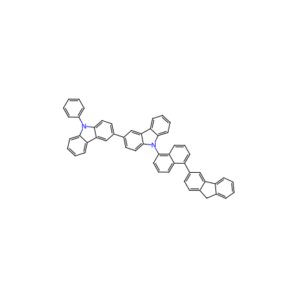 c1ccc(-n2c3ccccc3c3cc(-c4ccc5c(c4)c4ccccc4n5-c4cccc5c(-c6ccc7c(c6)-c6ccccc6C7)cccc45)ccc32)cc1